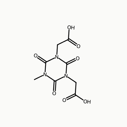 Cn1c(=O)n(CC(=O)O)c(=O)n(CC(=O)O)c1=O